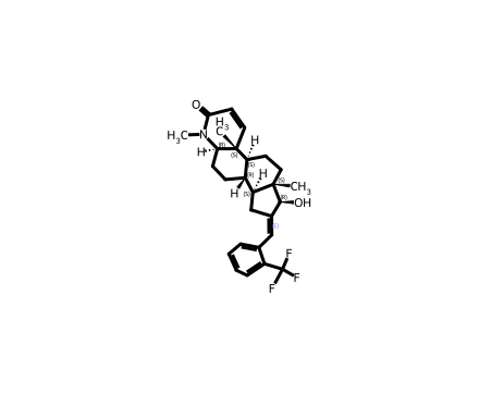 CN1C(=O)C=C[C@]2(C)[C@H]3CC[C@]4(C)[C@@H](O)/C(=C/c5ccccc5C(F)(F)F)C[C@H]4[C@@H]3CC[C@@H]12